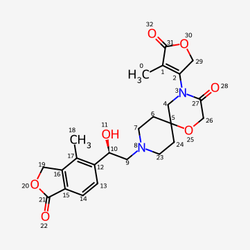 CC1=C(N2CC3(CCN(C[C@H](O)c4ccc5c(c4C)COC5=O)CC3)OCC2=O)COC1=O